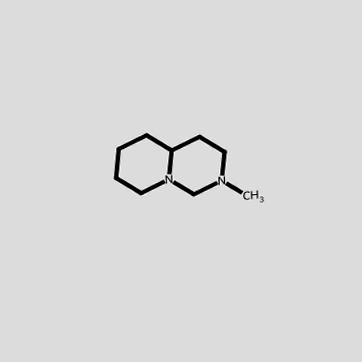 CN1CCC2CCCCN2C1